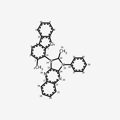 Cc1ccc2c(oc3ccccc32)c1N1c2nc3ccccc3nc2N(c2ccccc2)C1C